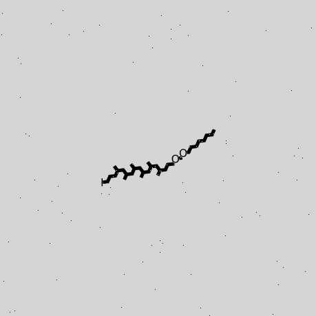 CCCCCCCCOCOCCCC(C)CC(C)CC(C)CC(C)CC(C)CC(C)CCCI